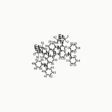 CCC(C)(C)N(c1cc2c(N(c3ccccc3)c3ccccc3)ccc3c2n1-c1cccc2c1B3c1ccc(N(c3ccccc3)c3ccccc3)c3cc(N(C(C)(C)CC)C(C)(C)CC)n-2c13)C(C)(C)CC